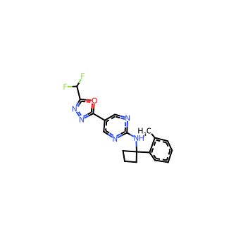 Cc1ccccc1C1(Nc2ncc(-c3nnc(C(F)F)o3)cn2)CCC1